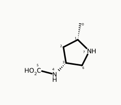 C[C@H]1C[C@@H](NC(=O)O)CN1